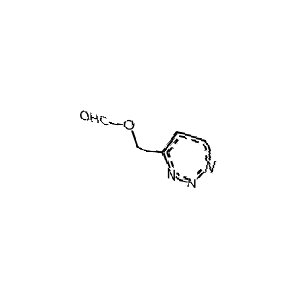 O=COCc1ccnnn1